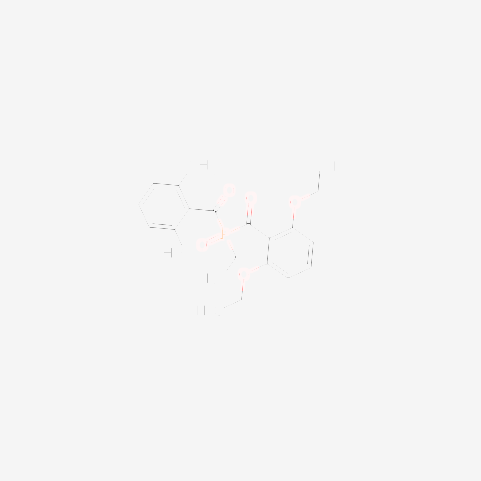 CCOc1cccc(OCC)c1C(=O)P(=O)(CC)C(=O)c1c(C)cccc1C